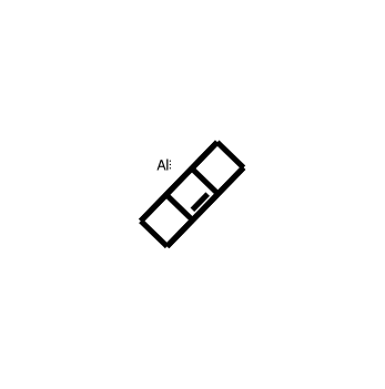 C12=C3C4C1C1C2C3C41.[Al]